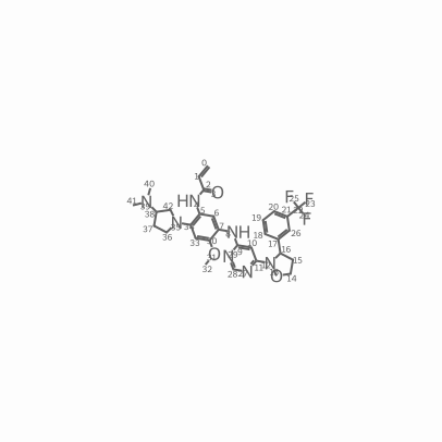 C=CC(=O)Nc1cc(Nc2cc(N3OCCC3c3cccc(C(F)(F)F)c3)ncn2)c(OC)cc1N1CCC(N(C)C)C1